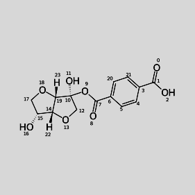 O=C(O)c1ccc(C(=O)O[C@@]2(O)CO[C@@H]3[C@H](O)CO[C@@H]32)cc1